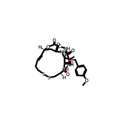 COc1ccc(C[C@H]2NC(=O)[C@H]3CSSCC/C=C/[C@H](CC(=O)N[C@H](C(C)C)C(=O)N3)OC(=O)CNC2=O)cc1